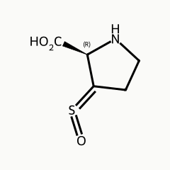 O=S=C1CCN[C@@H]1C(=O)O